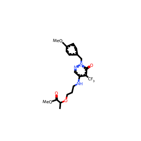 COC(=O)C(C)OCCCNc1cnn(Cc2ccc(OC)cc2)c(=O)c1C(F)(F)F